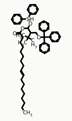 CCCCCCCCC=CCCCCCCCC(=O)OC(O[SiH](c1ccccc1)c1ccccc1)C(COC(c1ccccc1)(c1ccccc1)c1ccccc1)C(C)(C)C